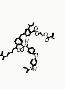 C=C(C)C(=C)CCCCC(=O)c1ccc(Cc2ccc(C(=O)OCCOC(=O)C(=C)C)c(C(C)CC)c2)cc1C(=O)Nc1ccc(Oc2ccc(NC(C)CC)cc2)cc1